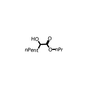 CCCCCC(O)C(=O)OCCC